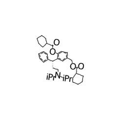 CC(C)N(CC[C@H](c1ccccc1)c1cc(COC(=O)C2CCCCC2)ccc1OC(=O)C1CCCCC1)C(C)C